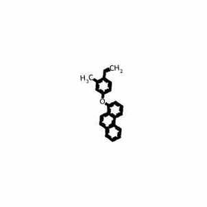 C=Cc1ccc(Oc2cccc3c2ccc2ccccc23)cc1C